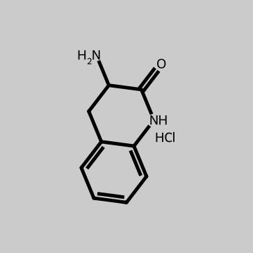 Cl.NC1Cc2ccccc2NC1=O